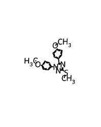 COc1ccc(-c2nc(SC)nn2-c2ccc(OC)cc2)cc1